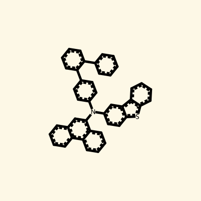 c1ccc(-c2ccccc2-c2ccc(N(c3ccc4sc5ccccc5c4c3)c3cc4ccccc4c4ccccc34)cc2)cc1